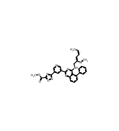 C=N/C(=C\C=C/C)CNc1nc(-c2cncc(-c3noc(C(=O)OC)n3)c2)nc2cccc(-c3ccccc3)c12